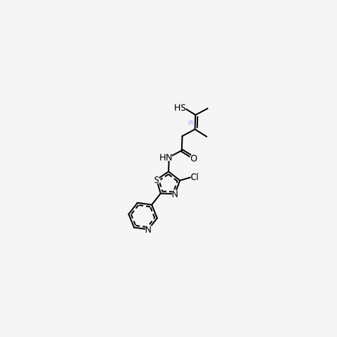 C/C(S)=C(\C)CC(=O)Nc1sc(-c2cccnc2)nc1Cl